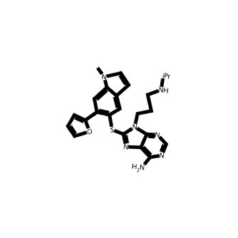 CC(C)NCCCn1c(Sc2cc3ccn(C)c3cc2-c2ccco2)nc2c(N)ncnc21